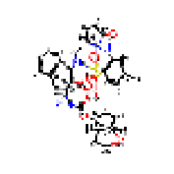 Cc1ccc(S(=O)(=O)N(C[C@@H]2CCC(=O)N2)C[C@@H](O)[C@H](Cc2ccccc2)NC(=O)OC2CC[C@H]3OCC[C@@H]23)cc1